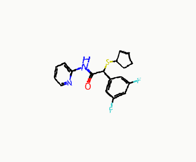 O=C(Nc1ccccn1)C(SC1CCCC1)c1cc(F)cc(F)c1